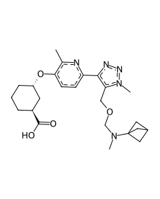 Cc1nc(-c2nnn(C)c2COCN(C)C23CC(C2)C3)ccc1O[C@H]1CCC[C@H](C(=O)O)C1